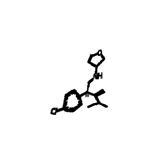 C=C(C(C)C)[C@H](CNC1CCOC1)c1ccc(Cl)cc1